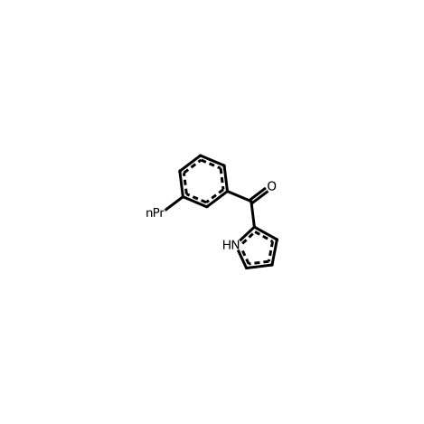 CCCc1cccc(C(=O)c2ccc[nH]2)c1